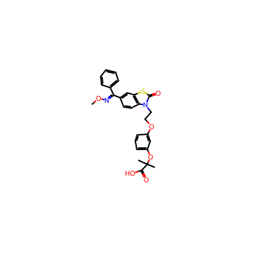 CON=C(c1ccccc1)c1ccc2c(c1)sc(=O)n2CCOc1cccc(OC(C)(C)C(=O)O)c1